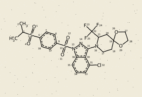 CC(C)S(=O)(=O)c1ccc(S(=O)(=O)n2nc(N3CCC4(CC3C(F)(F)F)OCCO4)c3c(Cl)cccc32)cc1